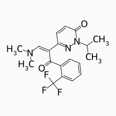 CC(C)n1nc(C(=CN(C)C)C(=O)c2ccccc2C(F)(F)F)ccc1=O